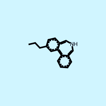 CCCc1ccc2c(c1)=c1ccccc1=CNC=2